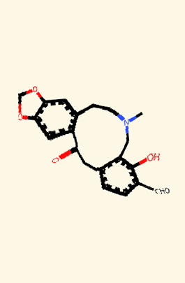 CN1CCc2cc3c(cc2C(=O)Cc2ccc(C=O)c(O)c2C1)OCO3